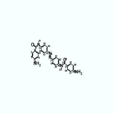 CN(C(=O)c1ccc(N)cc1)c1ccc(N=Nc2ccc(N(C)C(=O)c3ccc(N)cc3)cc2)cc1